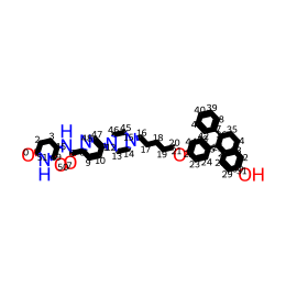 O=C1CC[C@@H](NC(=O)c2ccc(N3CCN(CCCCCOc4ccc([C@@H]5c6ccc(O)cc6CC[C@@H]5c5ccccc5)cc4)CC3)cn2)C(=O)N1